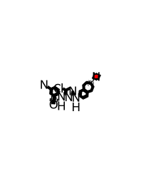 CP(C)(=O)c1cc(C#N)ccc1Nc1nc(Nc2ccc3c(c2)CC[C@H](N2CC4CC2C4)CC3)ncc1Cl